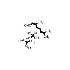 CC(C)=CCCC(C)=CC=O.CCCC(O)(O)O.CCOC(C)OCC